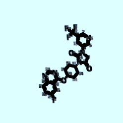 O=C1CN(c2cncc(C(F)(F)F)c2)C(=O)N1[C@H]1CC[C@H](Oc2ncnc3ccc(F)cc23)CC1